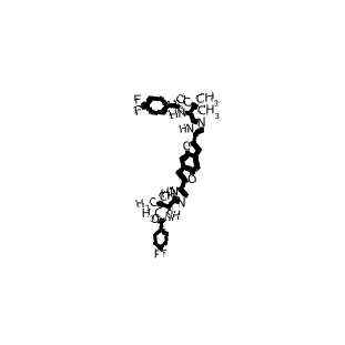 CC(C)(C)C(NC(=O)C1CCC(F)(F)CC1)c1ncc(-c2cc3cc4oc(-c5cnc([C@@H](NC(=O)C6CCC(F)(F)CC6)C(C)(C)C)[nH]5)cc4cc3o2)[nH]1